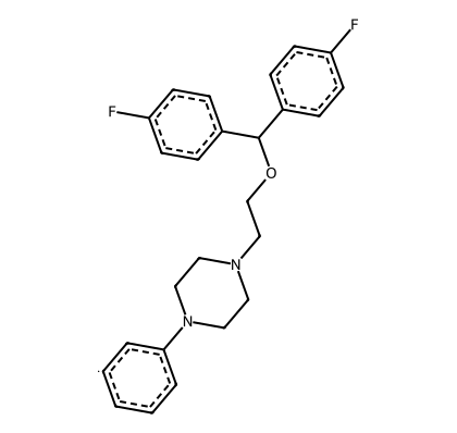 Fc1ccc(C(OCCN2CCN(c3c[c]ccc3)CC2)c2ccc(F)cc2)cc1